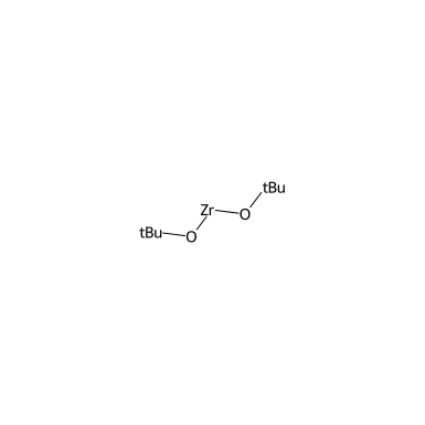 CC(C)(C)[O][Zr][O]C(C)(C)C